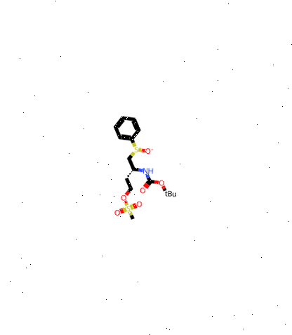 CC(C)(C)OC(=O)N[C@H](CCOS(C)(=O)=O)C[S+]([O-])c1ccccc1